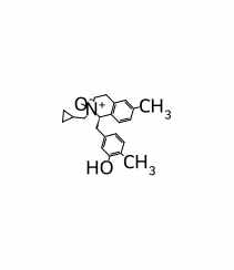 Cc1ccc2c(c1)CC[N+]([O-])(CC1CC1)[C@@H]2Cc1ccc(C)c(O)c1